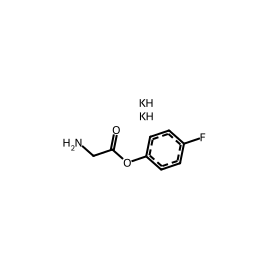 NCC(=O)Oc1ccc(F)cc1.[KH].[KH]